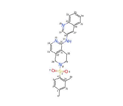 Cc1ccc(S(=O)(=O)N2CCc3c(ccnc3Nc3cnc4ccccc4c3)C2)c(C)c1